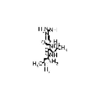 CC(C)CC(N)C(=O)N[C@@H](CC(C)C)C(=O)N[C@H](C=O)CCCNC(=N)N